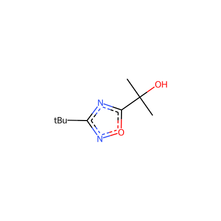 CC(C)(C)c1noc(C(C)(C)O)n1